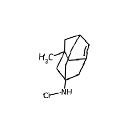 CC12CC3=CC(C1)CC(NCl)(C3)C2